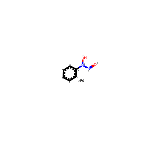 O=NN(O)c1ccccc1.[Pd]